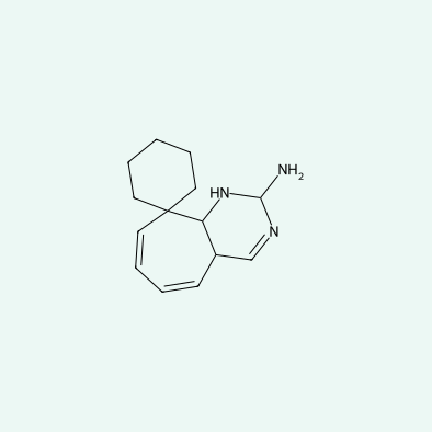 NC1N=CC2C=CC=CC3(CCCCC3)C2N1